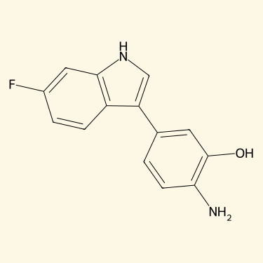 Nc1ccc(-c2c[nH]c3cc(F)ccc23)cc1O